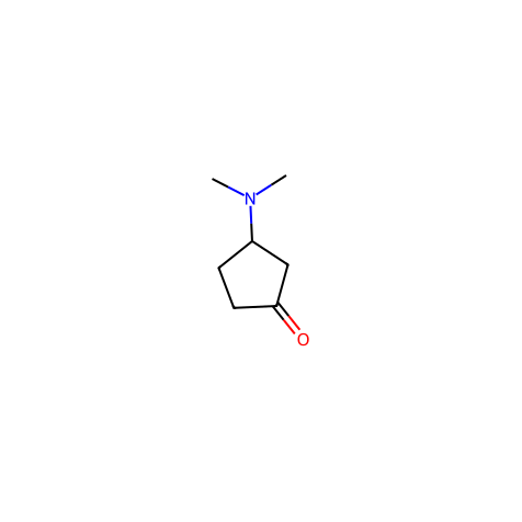 CN(C)C1CCC(=O)C1